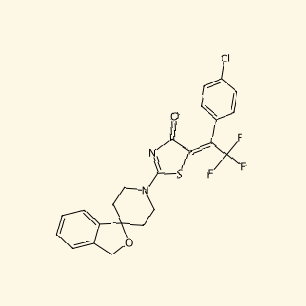 O=C1N=C(N2CCC3(CC2)OCc2ccccc23)S/C1=C(/c1ccc(Cl)cc1)C(F)(F)F